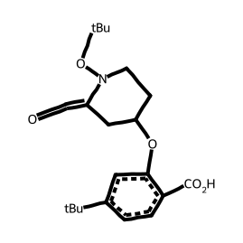 CC(C)(C)ON1CCC(Oc2cc(C(C)(C)C)ccc2C(=O)O)CC1=C=O